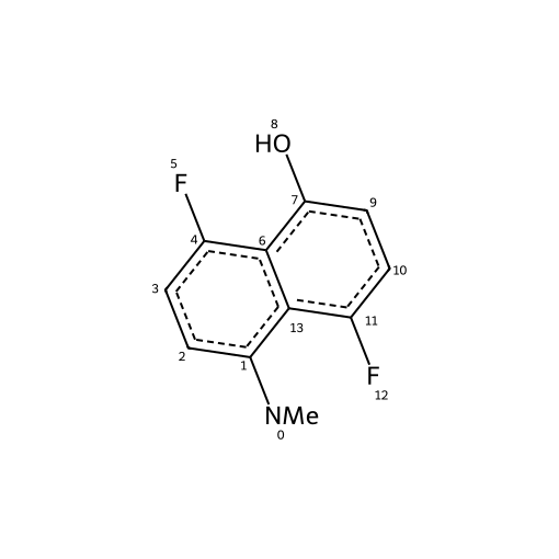 CNc1ccc(F)c2c(O)ccc(F)c12